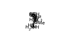 COC(=O)C(CCCCNC(=N)N)NC(=O)C1=Cc2cc(OC(F)(F)F)cc(C)c2O[C@@H]1C(F)(F)F